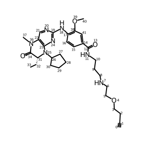 C#CCCOCCNCCCNC(=O)c1ccc(Nc2ncc3c(n2)N(C2CCCC2)[C@H](CC)C(=O)N3C)c(OC)c1